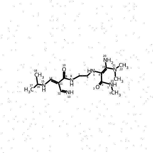 CNC(=O)/C(NCCNC(=O)/C(C=N)=C/NC(C)C)=C(/N)N(C)C